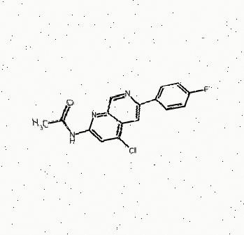 CC(=O)Nc1cc(Cl)c2cc(-c3ccc(F)cc3)ncc2n1